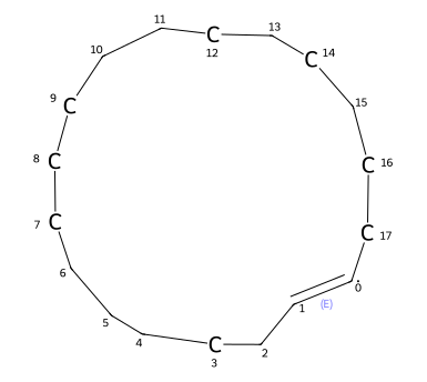 [C]1=C/CCCCCCCCCCCCCCCC/1